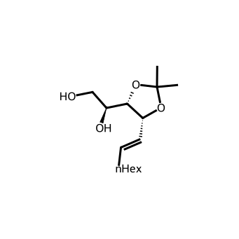 CCCCCC/C=C/[C@H]1OC(C)(C)O[C@H]1[C@@H](O)CO